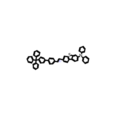 C(=C\c1ccc2c(c1)sc1cc(N(c3ccccc3)c3ccccc3)ccc12)/c1ccc(-c2ccc(C(c3ccccc3)(c3ccccc3)c3ccccc3)cc2)cc1